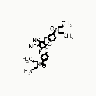 C=CCN(CC=C)C(=O)c1ccc(Oc2c(F)c(C#N)c(C#N)c(F)c2Oc2ccc(C(=O)N(CC=C)CC=C)cc2)cc1